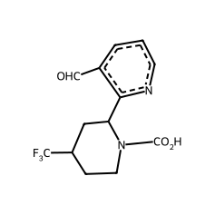 O=Cc1cccnc1C1CC(C(F)(F)F)CCN1C(=O)O